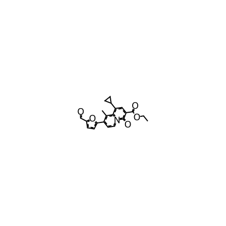 CCOC(=O)c1cc(C2CC2)c2c(C)c(-c3ccc(C=O)o3)ccn2c1=O